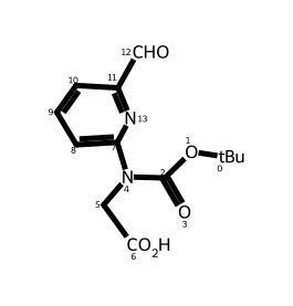 CC(C)(C)OC(=O)N(CC(=O)O)c1cccc(C=O)n1